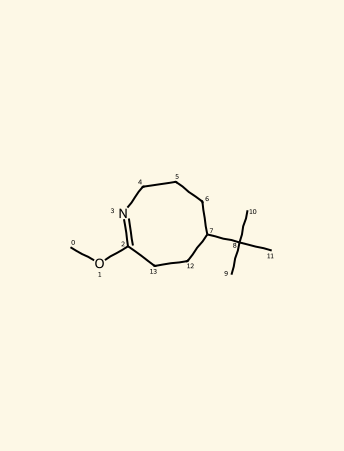 CO/C1=N/CCCC(C(C)(C)C)CC1